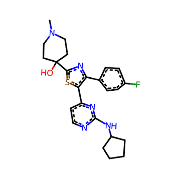 CN1CCC(O)(c2nc(-c3ccc(F)cc3)c(-c3ccnc(NC4CCCC4)n3)s2)CC1